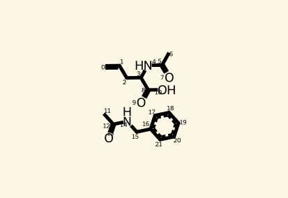 C=CCC(NC(C)=O)C(=O)O.CC(=O)NCc1ccccc1